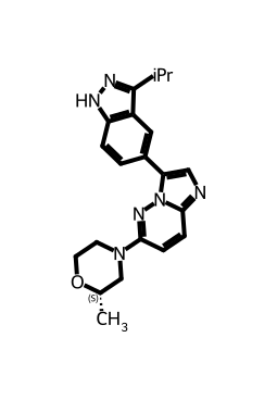 CC(C)c1n[nH]c2ccc(-c3cnc4ccc(N5CCO[C@@H](C)C5)nn34)cc12